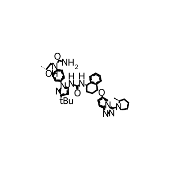 C[C@H](CNC(N)=O)Oc1cccc(-n2nc(C(C)(C)C)cc2NC(=O)N[C@H]2CC[C@@H](Oc3ccc4nnc(N5CCCC[C@@H]5C)n4c3)c3ccccc32)c1